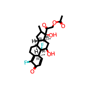 CC(=O)OCC(=O)[C@@]1(O)C(C)C[C@H]2[C@@H]3CCC4=C(F)C(=O)C=C[C@]4(C)[C@@]3(F)C(O)C[C@@]21C